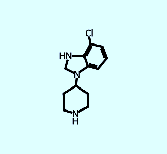 Clc1cccc2c1NCN2C1CCNCC1